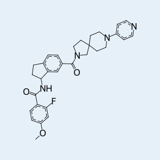 COc1ccc(C(=O)NC2CCc3ccc(C(=O)N4CCC5(CCN(c6ccncc6)CC5)C4)cc32)c(F)c1